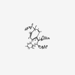 COC1C2=C(C=CC(C)(C(C)C)C=C2)c2ccccc2C1OC